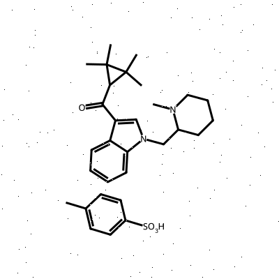 CN1CCCCC1Cn1cc(C(=O)C2C(C)(C)C2(C)C)c2ccccc21.Cc1ccc(S(=O)(=O)O)cc1